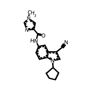 Cn1cnc(C(=O)Nc2ccc3c(c2)c(C#N)cn3C2CCCC2)c1